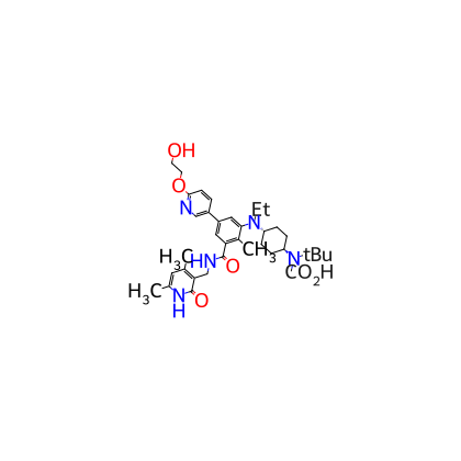 CCN(c1cc(-c2ccc(OCCO)nc2)cc(C(=O)NCc2c(C)cc(C)[nH]c2=O)c1C)[C@H]1CC[C@H](N(C(=O)O)C(C)(C)C)CC1